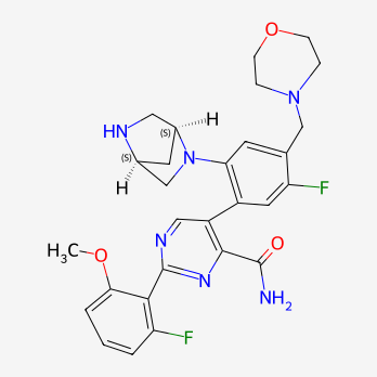 COc1cccc(F)c1-c1ncc(-c2cc(F)c(CN3CCOCC3)cc2N2C[C@@H]3C[C@H]2CN3)c(C(N)=O)n1